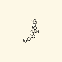 Cc1c(C(=O)Nc2ccc(N3C[C@@H](C)O[C@@H](C)C3)nc2)cccc1-c1ccc(OF)cc1